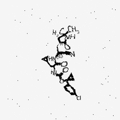 CC1(C)C[C@@H](C[C@@H](C#N)NC(=O)C(CC2CC2)NC(=O)OC2(c3cccc(Cl)c3)CC2)C(=O)N1